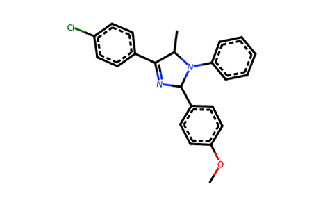 COc1ccc(C2N=C(c3ccc(Cl)cc3)C(C)N2c2ccccc2)cc1